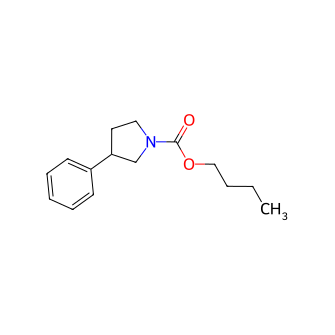 CCCCOC(=O)N1CCC(c2ccccc2)C1